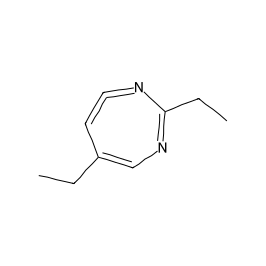 CCC1=CN=C(CC)N=C=C1